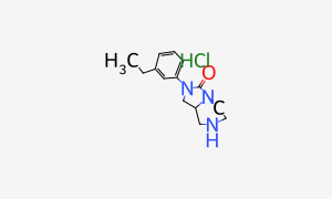 CCc1cccc(N2CC3CNCCN3C2=O)c1.Cl